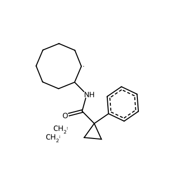 O=C(NC1[CH]CCCCCC1)C1(c2ccccc2)CC1.[CH2].[CH2]